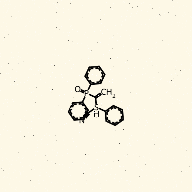 C=C([SH](C#N)c1ccccc1)P(=O)(c1ccccc1)c1ccccc1